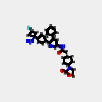 N[C@]1(c2ccc(-c3ncc(NC(=O)C[C@H]4CC[C@H](N5CCOC5=O)CC4)cc3-c3ccccc3)cc2)C[C@@H](F)C1